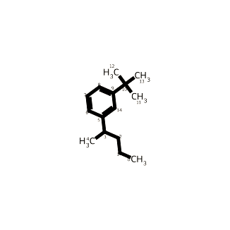 C[CH]CC(C)c1cccc(C(C)(C)C)c1